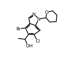 CC(O)c1c(Cl)cc2c(cnn2C2CCCCO2)c1Br